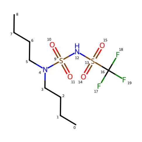 CCCCN(CCCC)S(=O)(=O)NS(=O)(=O)C(F)(F)F